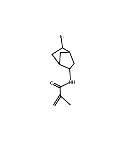 C=C(C)C(=O)NC1CC2CC1CC2CC